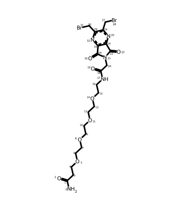 NC(=O)CCOCCOCCOCCOCCNC(=O)CN1C(=O)c2nc(CBr)c(CBr)nc2C1=O